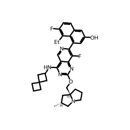 CCc1c(F)ccc2cc(O)cc(-c3ncc4c(NC5CC6(CCC6)C5)nc(OC[C@@]56CCCN5C[C@H](C)C6)nc4c3F)c12